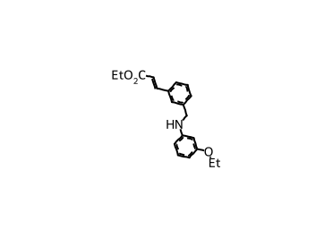 CCOC(=O)/C=C/c1cccc(CNc2cccc(OCC)c2)c1